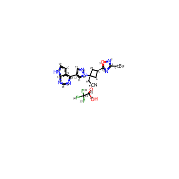 CC(C)(C)c1noc([C@H]2C[C@](CC#N)(n3cc(-c4ncnc5[nH]ccc45)cn3)C2)n1.O=C(O)C(F)(F)F